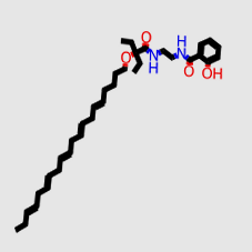 CCC=CCC=CCC=CCC=CCC=CCCCCOC(CC)(CC)C(=O)NCCNC(=O)c1ccccc1O